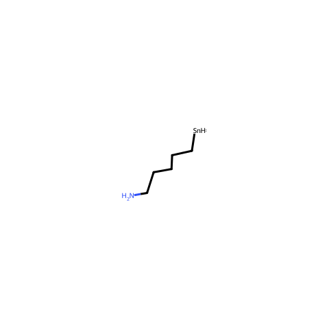 NCCCC[CH2][SnH]